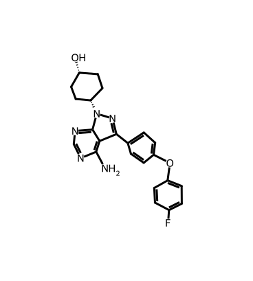 Nc1ncnc2c1c(-c1ccc(Oc3ccc(F)cc3)cc1)nn2[C@H]1CC[C@@H](O)CC1